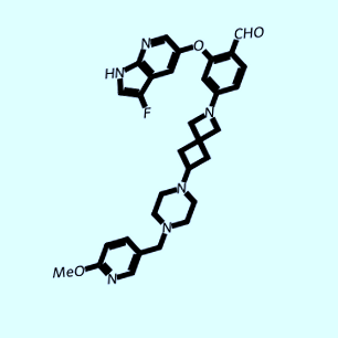 COc1ccc(CN2CCN(C3CC4(C3)CN(c3ccc(C=O)c(Oc5cnc6[nH]cc(F)c6c5)c3)C4)CC2)cn1